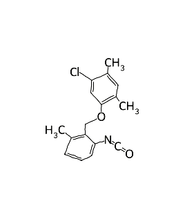 Cc1cc(C)c(OCc2c(C)cccc2N=C=O)cc1Cl